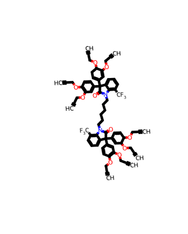 C#CCOC1=CC(C2(c3ccc(OCC#C)c(OCC#C)c3)C(=O)N(CCCCCCN3C(=O)C(C4=CC(OCC#C)C(OCC#C)C=C4)(c4ccc(OCC#C)c(OCC#C)c4)c4cccc(C(F)(F)F)c43)c3c(C(F)(F)F)cccc32)=CCC1OCC#C